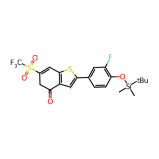 CC(C)(C)[Si](C)(C)Oc1ccc(-c2[c]c3c(s2)C=C(S(=O)(=O)C(F)(F)F)CC3=O)cc1F